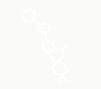 CC1(C)CCC2(CC1)CC(=O)c1cc(-c3nc(-c4ccccc4)no3)ccc1C2